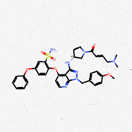 COc1ccc(Cn2nc(N[C@@H]3CCN(C(=O)C=CCN(C)C)C3)c3c(Oc4ccc(Oc5ccccc5)cc4S(N)(=O)=O)ccnc32)cc1